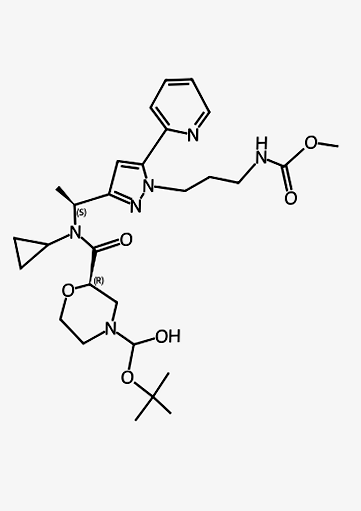 COC(=O)NCCCn1nc([C@H](C)N(C(=O)[C@H]2CN(C(O)OC(C)(C)C)CCO2)C2CC2)cc1-c1ccccn1